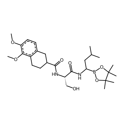 COc1ccc2c(c1OC)CCC(C(=O)N[C@@H](CO)C(=O)NC(CC(C)C)B1OC(C)(C)C(C)(C)O1)C2